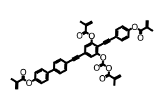 C=C(C)C(=O)OC(=O)Oc1cc(C#Cc2ccc(-c3ccc(OC(=O)C(=C)C)cc3)cc2)cc(OC(=O)C(=C)C)c1C#Cc1ccc(OC(=O)C(=C)C)cc1